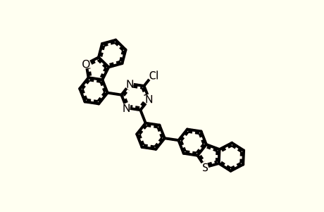 Clc1nc(-c2cccc(-c3ccc4c(c3)sc3ccccc34)c2)nc(-c2cccc3oc4ccccc4c23)n1